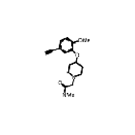 C#Cc1ccc(OC)c(OC2CCN(CC(=O)NC)CC2)c1